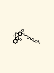 CCOCCOCCOc1cc(N2C(=O)C3=C(CCCC3)C2=O)c(F)cc1Cl